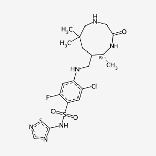 C[C@H]1NC(=O)CNCC(C)(C)CC1CNc1cc(F)c(S(=O)(=O)Nc2ncns2)cc1Cl